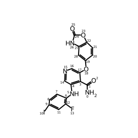 NC(=O)c1c(Nc2ccc(I)cc2F)cncc1Oc1ccc2oc(=O)[nH]c2c1